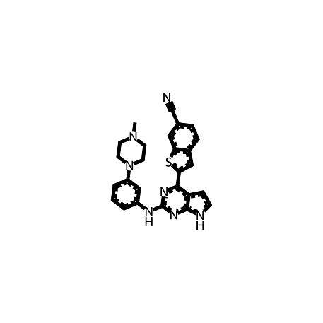 CN1CCN(c2cccc(Nc3nc(-c4cc5ccc(C#N)cc5s4)c4cc[nH]c4n3)c2)CC1